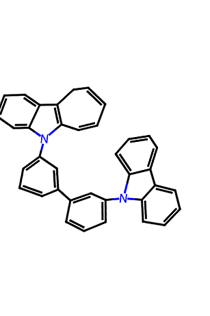 C1=CCc2c(n(-c3cccc(-c4cccc(-n5c6ccccc6c6ccccc65)c4)c3)c3ccccc23)C=C1